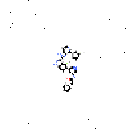 O=C(Cc1ccccc1)Nc1cncc(-c2ccc3[nH]nc(-c4nc5c(-c6cccc(F)c6)nccc5[nH]4)c3c2F)c1